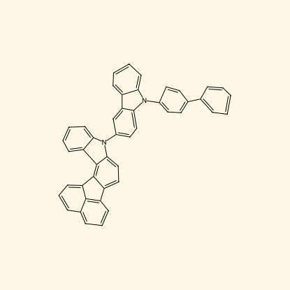 c1ccc(-c2ccc(-n3c4ccccc4c4cc(-n5c6ccccc6c6c7c(ccc65)-c5cccc6cccc-7c56)ccc43)cc2)cc1